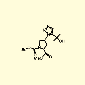 COC(=O)[C@@H]1C[C@H](n2nncc2C(C)(C)O)CN1C(=O)OC(C)(C)C